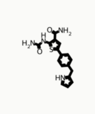 NC(=O)Nc1sc(-c2ccc(Cc3ccc[nH]3)cc2)cc1C(N)=O